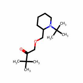 CC(C)(C)C(=O)COCC1CCCCN1C(C)(C)C